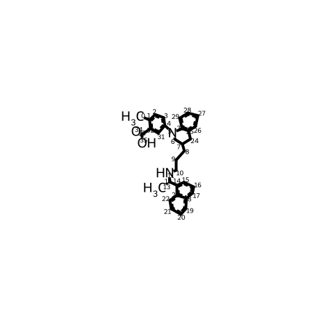 Cc1ccc(N2CC(CCCN[C@H](C)c3cccc4ccccc34)Cc3ccccc32)cc1C(=O)O